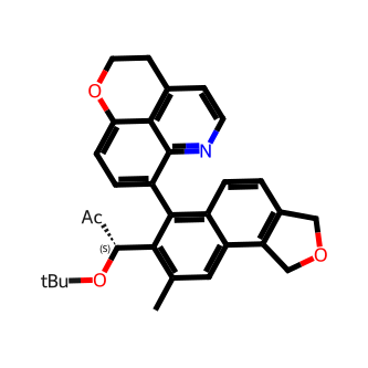 CC(=O)[C@@H](OC(C)(C)C)c1c(C)cc2c3c(ccc2c1-c1ccc2c4c(ccnc14)CCO2)COC3